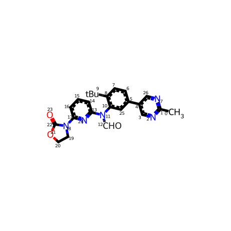 Cc1ncc(-c2ccc(C(C)(C)C)c(N(C=O)c3cccc(N4CCOC4=O)n3)c2)cn1